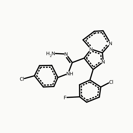 N/N=C(\Nc1ccc(Cl)cc1)c1c(-c2cc(F)ccc2Cl)nc2ncccn12